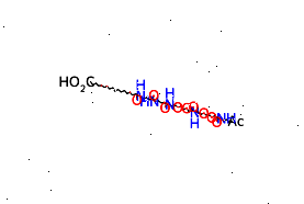 CC(=O)CCCNC(=O)COCCOCCNC(=O)COCCOCCNC(=O)CCCNC(=O)CCCNC(=O)CCCCCCCCCCCCCCCCC(=O)O